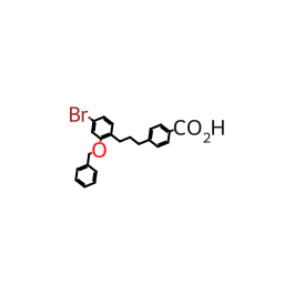 O=C(O)c1ccc(CCCc2ccc(Br)cc2OCc2ccccc2)cc1